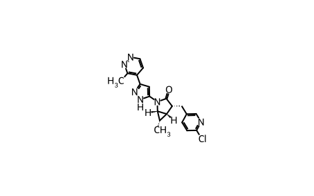 Cc1nnccc1-c1cc(N2C(=O)[C@H](Cc3ccc(Cl)nc3)[C@@H]3[C@H](C)[C@@H]32)[nH]n1